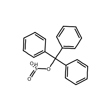 O=[SH](=O)OC(c1ccccc1)(c1ccccc1)c1ccccc1